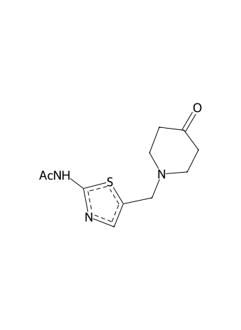 CC(=O)Nc1ncc(CN2CCC(=O)CC2)s1